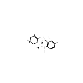 [2H]C1=C(C(=O)OCC)[C@H](S(=O)(=O)Nc2ccc(F)cc2Cl)CC([2H])([2H])C1